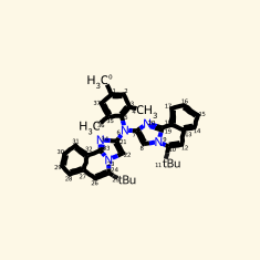 Cc1cc(C)c(N(c2cn3c(C(C)(C)C)cc4ccccc4c3n2)c2cn3c(C(C)(C)C)cc4ccccc4c3n2)c(C)c1